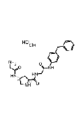 Cl.Cl.NCC(=O)N[C@H]1CN[C@H](C(=O)NCC(=O)Nc2ccc(Cc3ccccc3)cc2)C1